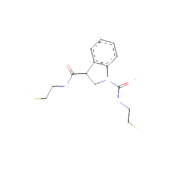 O=C(NCCS)C1CN(C(=O)NCCS)c2ccccc21